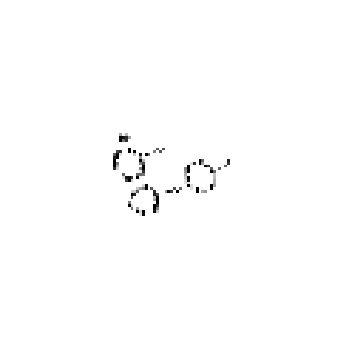 [Bi+3].[S-]c1ccccc1.[S-]c1ccccc1.[S-]c1ccccc1